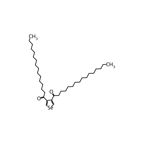 CCCCCCCCCCCCCCCC(=O)c1c[se]cc1C(=O)CCCCCCCCCCCCCCC